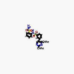 COc1ncc(-c2cccc(S(=O)(=O)Nc3ccccc3S(N)(=O)=O)c2)c(OC)n1